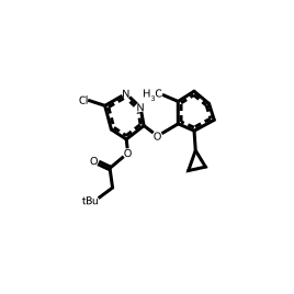 Cc1cccc(C2CC2)c1Oc1nnc(Cl)cc1OC(=O)CC(C)(C)C